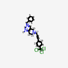 CN1CN(Cc2ccccc2)CC2=C1CCN(CC#Cc1ccc(C(Cl)(Cl)Cl)cc1)C2